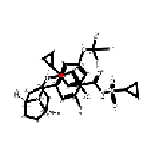 O=C(NS(=O)(=O)C1CC1)c1cc(C2CC2)c(CN2[C@@H]3CC[C@H]2CC(Oc2cc(Cl)cc(OC(F)(F)F)c2)C3)cc1F